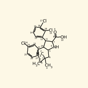 CC(C)(C)CC1NC(C(=O)O)C(c2cccc(Cl)c2Cl)C1c1cc(Cl)ccc1F